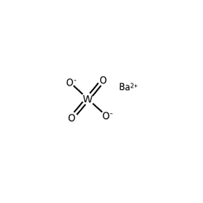 [Ba+2].[O]=[W](=[O])([O-])[O-]